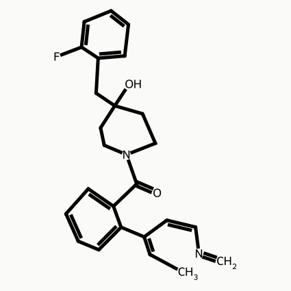 C=N/C=C\C(=C/C)c1ccccc1C(=O)N1CCC(O)(Cc2ccccc2F)CC1